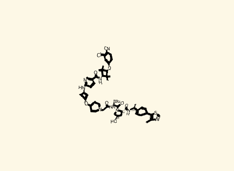 Cc1ncsc1-c1ccc([C@H](C)NC(=O)[C@@H]2C[C@@H](O)CN2C(=O)[C@@H](NC(=O)CN2CCC(O[C@H]3C[C@H](Nc4ccc(C(=O)N[C@H]5C(C)(C)[C@H](Oc6ccc(C#N)c(Cl)c6)C5(C)C)cn4)C3)CC2)C(C)(C)C)cc1